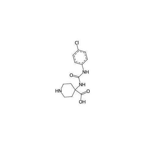 O=C(Nc1ccc(Cl)cc1)NC1(C(=O)O)CCNCC1